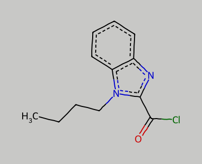 CCCCn1c(C(=O)Cl)nc2ccccc21